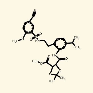 COC(=O)C1OC(C)(C)OC1C(=O)Nc1cc(C(C)C)ccc1CCNS(=O)(=O)c1cc(C#N)ccc1OC